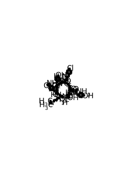 C[C@@H](O)[C@@H]1NC(=O)[C@H](CCCCCN(C)C)NC(=O)[C@@H](Cc2ccc(C(N)=O)cc2)NC(=O)[C@H](Cc2ccc(O)cc2)NC(=O)[C@H](NC(=O)[C@@H](N)Cc2ccc(Cl)cc2)CSSC[C@@H](C(=O)N[C@H](Cc2ccc(O)cc2)C(N)=O)NC1=O